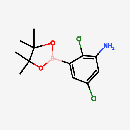 CC1(C)OB(c2cc(Cl)cc(N)c2Cl)OC1(C)C